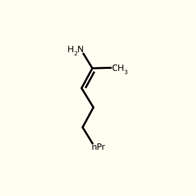 CCCCC/C=C(\C)N